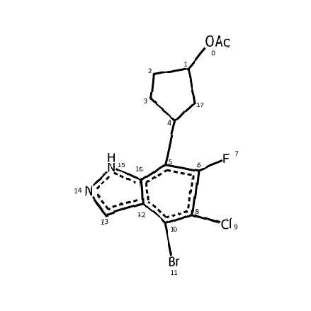 CC(=O)OC1CCC(c2c(F)c(Cl)c(Br)c3cn[nH]c23)C1